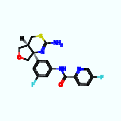 NC1=N[C@@]2(c3cc(F)cc(NC(=O)c4ccc(F)cn4)c3)COC[C@H]2CS1